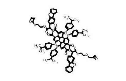 CC(C)c1ccc(Oc2cc3c4c(cc(Oc5ccc(C(C)C)cc5)c5c6c(Oc7ccc(C(C)C)cc7)cc7c8c(cc(Oc9ccc(C(C)C)cc9)c(c2c45)c86)C(=O)N(C(C(=O)OCCOC2CCO2)c2ccc4c(c2)oc2ccccc24)C7=O)C(=O)N(C(C(=O)OCCOCC2CO2)c2ccc4c(c2)oc2ccccc24)C3=O)cc1